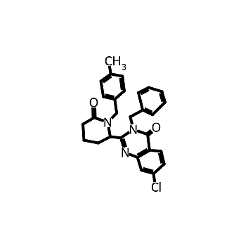 Cc1ccc(CN2C(=O)CCCC2c2nc3cc(Cl)ccc3c(=O)n2Cc2ccccc2)cc1